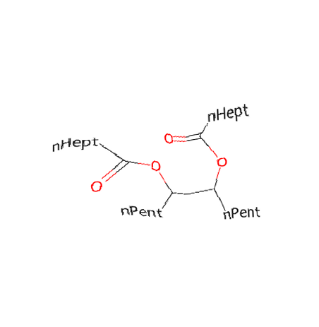 CCCCCCCC(=O)OC(CCCCC)C(CCCCC)OC(=O)CCCCCCC